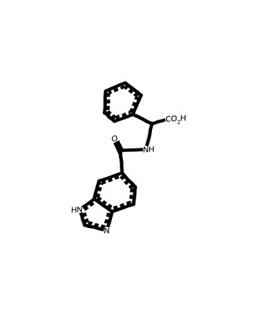 O=C(NC(C(=O)O)c1ccccc1)c1ccc2nc[nH]c2c1